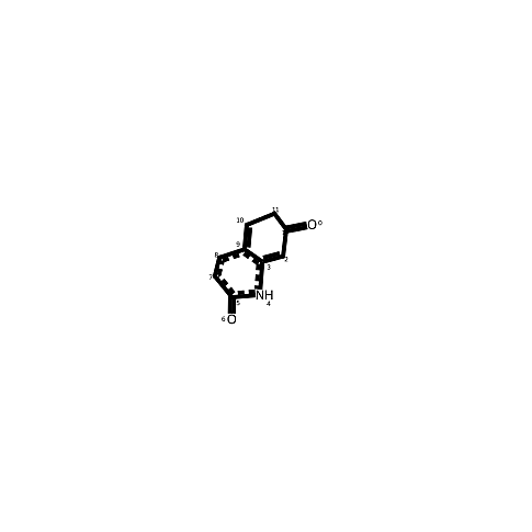 O=C1C=c2[nH]c(=O)ccc2=CC1